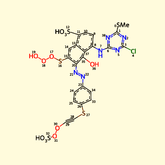 CSc1nc(Cl)nc(Nc2ccc(S(=O)(=O)O)c3cc(SOOO)c(N=Nc4ccc(SC#COOS(=O)(=O)O)cc4)c(O)c23)n1